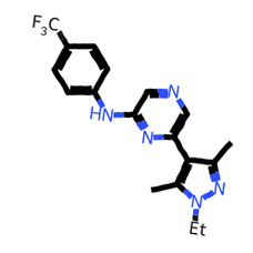 CCn1nc(C)c(-c2cncc(Nc3ccc(C(F)(F)F)cc3)n2)c1C